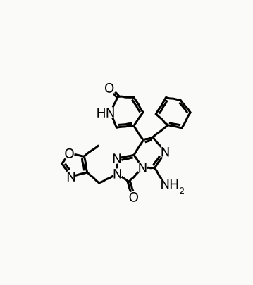 Cc1ocnc1Cn1nc2c(-c3ccc(=O)[nH]c3)c(-c3ccccc3)nc(N)n2c1=O